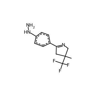 CC1(C(F)(F)F)CN=C(c2ccc(NN)cc2)C1